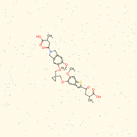 COc1cc2c(cc1OCC1(COc3cc4cc(C(=O)CC(C)C(=O)O)sc4cc3OC)CC1)CN(C(=O)CC(C)C(=O)O)C2